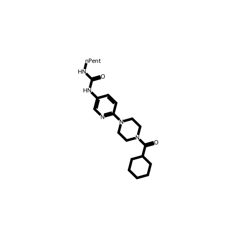 CCCCCNC(=O)Nc1ccc(N2CCN(C(=O)C3CCCCC3)CC2)nc1